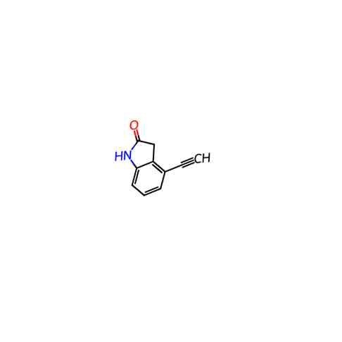 C#Cc1cccc2c1CC(=O)N2